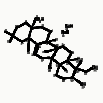 CC1(C)CC[C@]2(C(=O)O)CC[C@]3(C)C(=CC[C@@H]4[C@@]5(C)CC[C@H](O)[C@@](C)(CO)[C@@H]5CC[C@]43C)[C@@H]2C1.[NaH].[NaH]